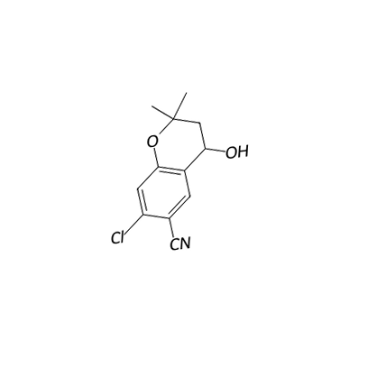 CC1(C)CC(O)c2cc(C#N)c(Cl)cc2O1